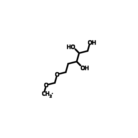 [CH2]OCOCCC(O)C(O)CO